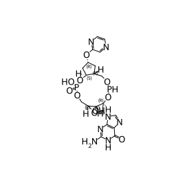 Nc1nc2c(ncn2[C@@H]2O[C@@H]3COP(=O)(O)O[C@H]4C[C@H](Oc5cnccn5)C[C@@H]4COPO[C@@H]2[C@@H]3O)c(=O)[nH]1